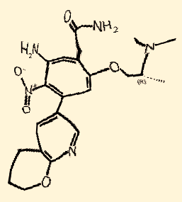 C[C@H](COc1cc(-c2cnc3c(c2)CCCO3)c([N+](=O)[O-])c(N)c1C(N)=O)N(C)C